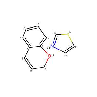 C1=Cc2ccccc2OC1.c1cscn1